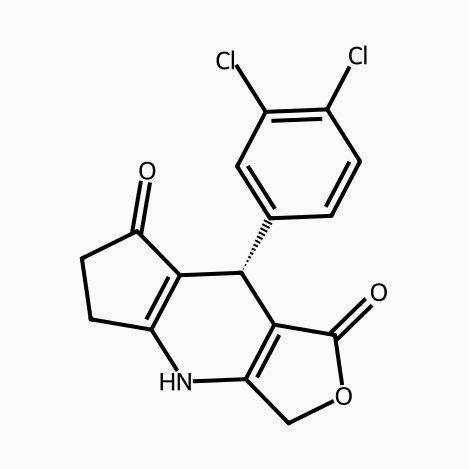 O=C1CCC2=C1[C@H](c1ccc(Cl)c(Cl)c1)C1=C(COC1=O)N2